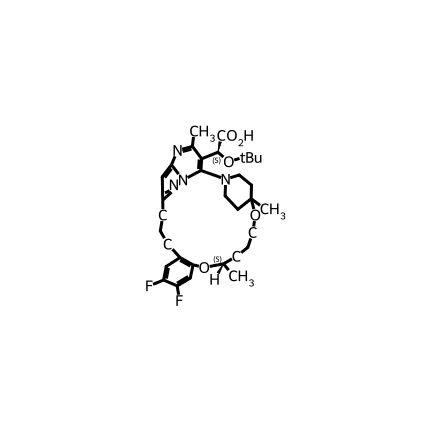 Cc1nc2cc3nn2c(c1[C@H](OC(C)(C)C)C(=O)O)N1CCC(C)(CC1)OCCC[C@H](C)Oc1cc(F)c(F)cc1CCC3